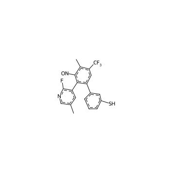 Cc1cnc(F)c(-c2c(-c3cccc(S)c3)cc(C(F)(F)F)c(C)c2N=O)c1